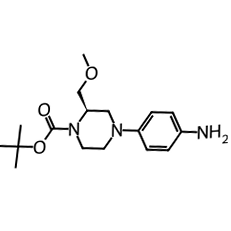 COC[C@H]1CN(c2ccc(N)cc2)CCN1C(=O)OC(C)(C)C